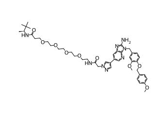 COc1ccc(COc2ccc(Cn3c(N)nc4cc(-c5cnn(CC(=O)NCCOCCOCCOCCOCCC(=O)N[C@@H](C)C(C)(C)C)c5)cnc43)cc2OC)cc1